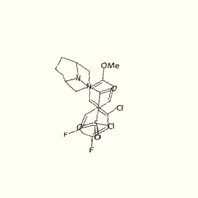 COc1ccc(S(=O)(=O)Cl)cc1N1C2CCC1CN(C(=O)c1cc(F)c(F)cc1Cl)C2